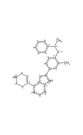 Cc1cc(-c2cc3c(C4=CCNCC4)ncnc3[nH]2)ccc1OC(C)c1ccccc1